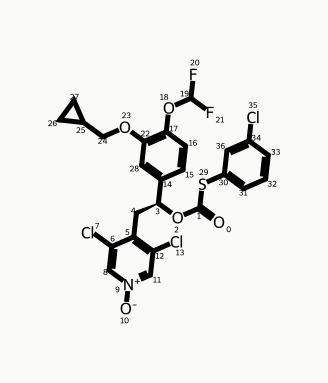 O=C(O[C@@H](Cc1c(Cl)c[n+]([O-])cc1Cl)c1ccc(OC(F)F)c(OCC2CC2)c1)Sc1cccc(Cl)c1